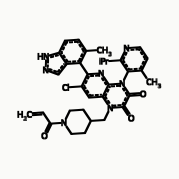 C=CC(=O)N1CCC(Cn2c(=O)c(=O)n(-c3c(C)ccnc3C(C)C)c3nc(-c4c(C)ccc5[nH]ncc45)c(Cl)cc32)CC1